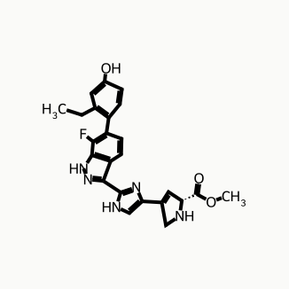 CCc1cc(O)ccc1-c1ccc2c(-c3nc(C4=C[C@H](C(=O)OC)NC4)c[nH]3)n[nH]c2c1F